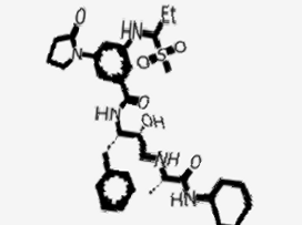 CCC(Nc1cc(C(=O)N[C@@H](Cc2ccccc2)[C@H](O)CN[C@@H](C)C(=O)NC2CCCCC2)cc(N2CCCC2=O)c1)S(C)(=O)=O